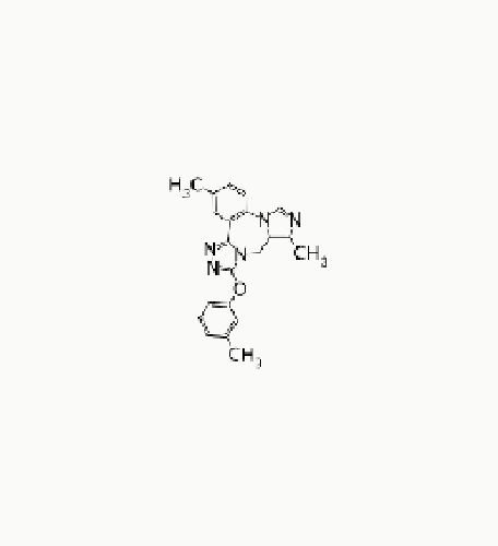 Cc1cccc(Oc2nnc3n2Cc2c(C)ncn2-c2ccc(C)cc2-3)c1